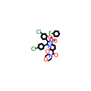 O=C(c1ccc2n(c1=O)C(c1ccc(Cl)cc1)C(c1ccc(Cl)cc1)N2S(=O)(=O)c1ccccc1F)N1CCOCC1